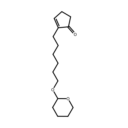 O=C1CCC=C1CCCCCCOC1CCCCO1